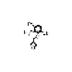 CCc1ccc(CC)c(OCC2COC2)c1C